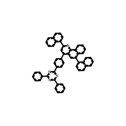 c1ccc(-c2nc(-c3ccccc3)nc(-c3ccc(-c4cc(-c5cccc6ccccc56)nc5c4cc(-c4cccc6ccccc46)c4ccccc45)cc3)n2)cc1